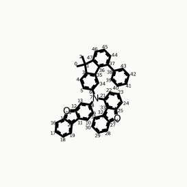 CC1(C)c2ccc(N(c3ccc4c(c3)oc3ccccc34)c3cccc4oc5ccccc5c34)cc2-c2c(-c3ccccc3)cccc21